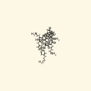 CCCCc1ccc(-c2ccc(CC(=O)N[C@@H](CCN)C(=O)N[C@H](C(=O)N[C@@H](N)C(=O)N[C@@H](CCCCN)C(=O)N[C@@H](N)B3OC4C[C@@H]5C[C@@H](C5(C)C)[C@]4(C)O3)[C@@H](C)O)cc2)cc1